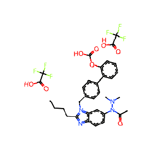 CCCCc1nc2ccc(N(C(C)=O)N(C)C)cc2n1Cc1ccc(-c2ccccc2OC(=O)O)cc1.O=C(O)C(F)(F)F.O=C(O)C(F)(F)F